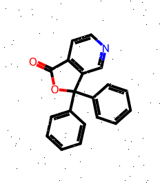 O=C1OC(c2ccccc2)(c2ccccc2)c2cnccc21